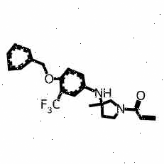 C=CC(=O)N1CCC(C)(Nc2ccc(OCc3ccccc3)c(C(F)(F)F)c2)C1